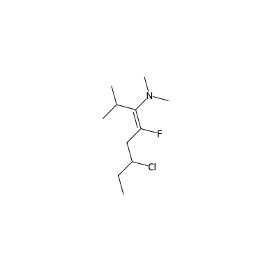 CCC(Cl)C/C(F)=C(\C(C)C)N(C)C